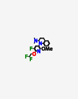 COc1nc(OCC(F)F)c(F)cc1N1c2ccccc2C=CC1N(C)C